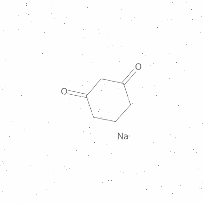 O=C1CCCC(=O)C1.[Na]